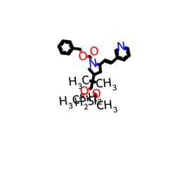 C[SiH2]OC(O[SiH2]C)C(C)(C)C1CC(C=Cc2cccnc2)N(C(=O)OCc2ccccc2)C1